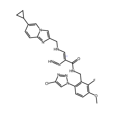 COc1ccc(-n2cc(Cl)nn2)c(CNC(=O)/C(=C/NCc2cn3cc(C4CC4)ccc3n2)N=N)c1F